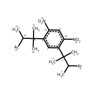 CC(=O)C(C)C(C)(C)c1cc(C(C)(C)C(C)C(C)=O)c([N+](=O)[O-])cc1[N+](=O)[O-]